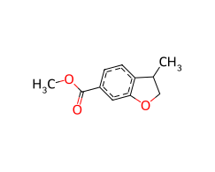 COC(=O)c1ccc2c(c1)OCC2C